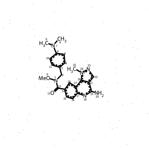 CON(Cc1ccc(N(C)C)cc1)C(=O)c1ccc2nc(N)c3cnn(C)c3c2c1